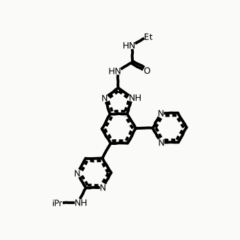 CCNC(=O)Nc1nc2cc(-c3cnc(NC(C)C)nc3)cc(-c3ncccn3)c2[nH]1